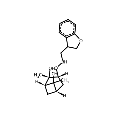 CC1(C)[C@@H]2C[C@@H](OBCC3COc4ccccc43)[C@@](C)(O)[C@H]1C2